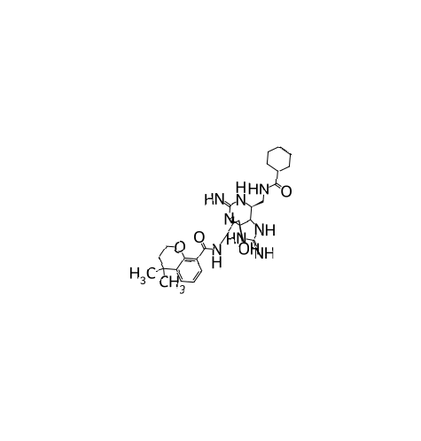 CC1(C)CCOc2c(C(=O)NC3CN4C(=N)N[C@@H](CNC(=O)C5CCCCC5)C5NC(=N)NC54[C@@H]3O)cccc21